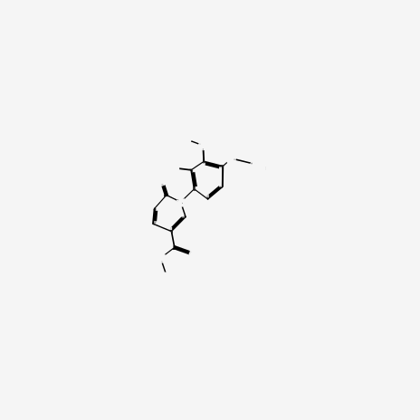 COC(=O)c1ccc(=O)n(-c2ccc(OC)c(OC)c2F)c1